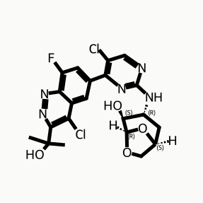 CC(C)(O)c1nnc2c(F)cc(-c3nc(N[C@@H]4C[C@H]5CO[C@H](O5)[C@H]4O)ncc3Cl)cc2c1Cl